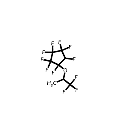 CC(OC1(F)C(F)C(F)(F)C(F)(F)C1(F)F)C(F)(F)F